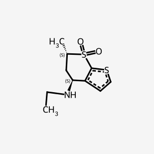 CCN[C@H]1C[C@H](C)S(=O)(=O)c2sccc21